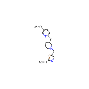 COc1ccc(C[C@@H]2CCCN(Cc3cnc(NC(C)=O)s3)C2)nc1